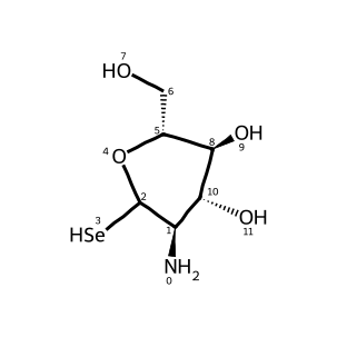 N[C@H]1C([SeH])O[C@H](CO)[C@@H](O)[C@@H]1O